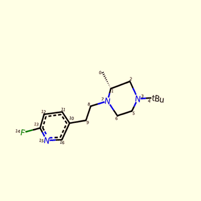 C[C@@H]1CN(C(C)(C)C)CCN1CCc1ccc(F)nc1